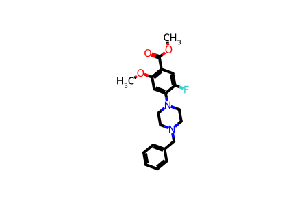 COC(=O)c1cc(F)c(N2CCN(Cc3ccccc3)CC2)cc1OC